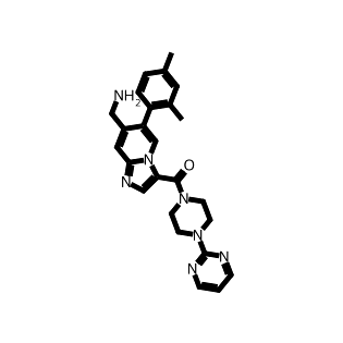 Cc1ccc(-c2cn3c(C(=O)N4CCN(c5ncccn5)CC4)cnc3cc2CN)c(C)c1